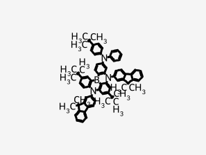 CC(C)(C)c1ccc(N(c2ccccc2)c2ccc3c(c2)N(c2ccc4c(c2)C(C)(C)c2ccccc2-4)c2cc(C(C)(C)C)cc4c2B3c2cc(C(C)(C)C)ccc2N4c2ccc3c(c2)C(C)(C)c2ccccc2-3)cc1